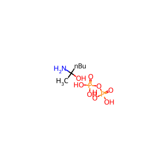 CCCCC(C)(N)O.O=P(O)(O)OP(=O)(O)O